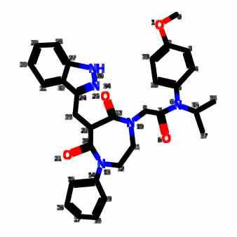 COc1ccc(N(C(=O)CN2CCN(c3ccccc3)C(=O)C(Cc3n[nH]c4ccccc34)C2=O)C(C)C)cc1